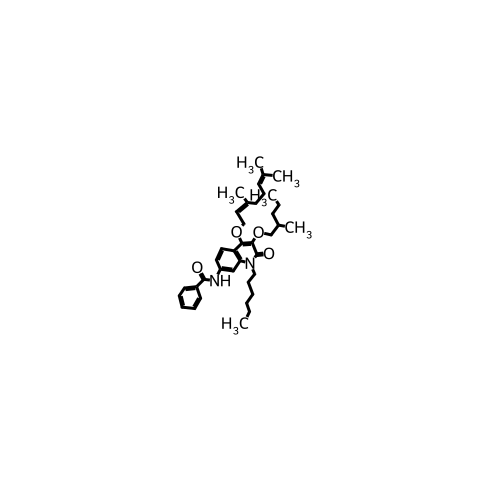 CCCCCCn1c(=O)c(OCC(C)CCC)c(OCC=C(C)CCC=C(C)C)c2ccc(NC(=O)c3ccccc3)cc21